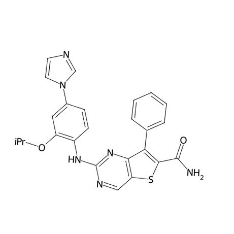 CC(C)Oc1cc(-n2ccnc2)ccc1Nc1ncc2sc(C(N)=O)c(-c3ccccc3)c2n1